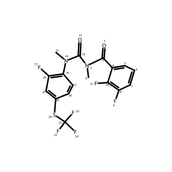 CN(C(=O)c1cccc(F)c1F)C(=O)N(C)c1ccc(SC(F)(F)F)cc1F